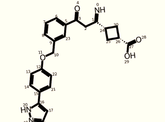 N=C(CC(=O)c1cccc(COc2ccc(-c3ccn[nH]3)cc2)c1)[C@H]1C[C@@H](C(=O)O)C1